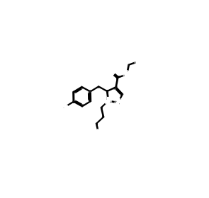 CCCCN1NC=C(C(=O)OCC)C1Cc1ccc(Br)cc1